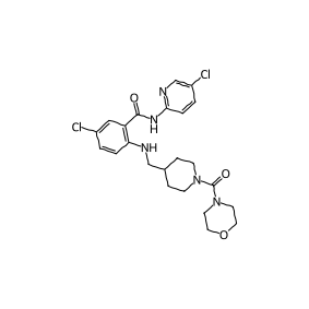 O=C(Nc1ccc(Cl)cn1)c1cc(Cl)ccc1NCC1CCN(C(=O)N2CCOCC2)CC1